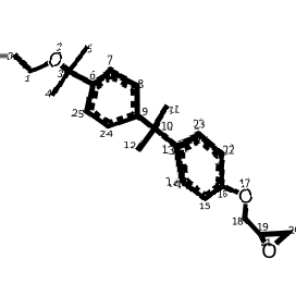 CCOC(C)(C)c1ccc(C(C)(C)c2ccc(OCC3CO3)cc2)cc1